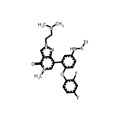 CCSNc1ccc(Oc2ccc(F)cc2F)c(-c2cn(C)c(=O)c3cn(CCN(C)C)nc23)c1